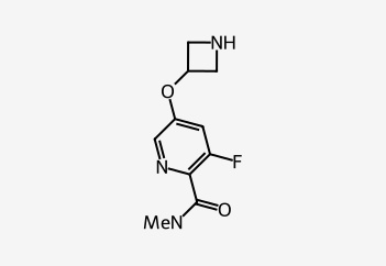 CNC(=O)c1ncc(OC2CNC2)cc1F